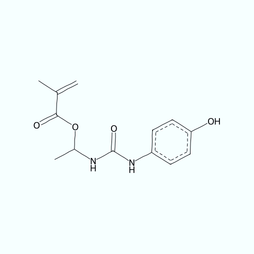 C=C(C)C(=O)OC(C)NC(=O)Nc1ccc(O)cc1